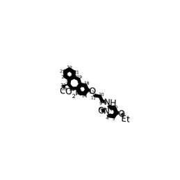 CCOc1cc[n+]([O-])c(NCCCOc2ccc3c(c2)Cc2ccccc2[C@H](CC(=O)O)C3)c1